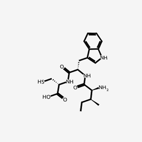 CC[C@H](C)[C@H](N)C(=O)N[C@@H](Cc1c[nH]c2ccccc12)C(=O)N[C@@H](CS)C(=O)O